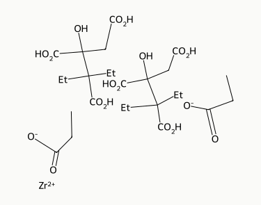 CCC(=O)[O-].CCC(=O)[O-].CCC(CC)(C(=O)O)C(O)(CC(=O)O)C(=O)O.CCC(CC)(C(=O)O)C(O)(CC(=O)O)C(=O)O.[Zr+2]